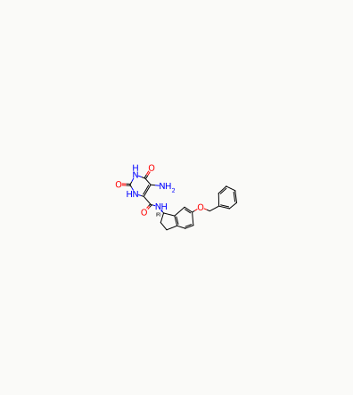 Nc1c(C(=O)N[C@@H]2CCc3ccc(OCc4ccccc4)cc32)[nH]c(=O)[nH]c1=O